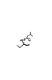 CCC(CC)N(C)C(=O)CC(C)C